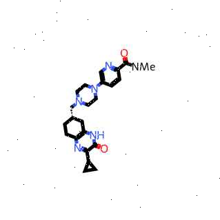 CNC(=O)c1ccc(N2CCN(C[C@H]3CCc4nc(C5CC5)c(=O)[nH]c4C3)CC2)cn1